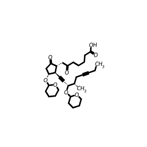 CCC#CC[C@H](C)[C@@H](C#C[C@H]1[C@H](OC2CCCCO2)CC(=O)[C@@H]1CC(=O)CCCCC(=O)O)OC1CCCCO1